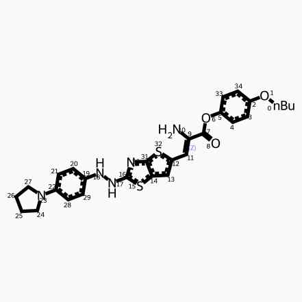 CCCCOc1ccc(OC(=O)/C(N)=C/c2cc3sc(NNc4ccc(N5CCCC5)cc4)nc3s2)cc1